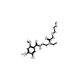 CCN(CCNC(=O)c1cc(Cl)c(N)cc1OC)C(=O)COCCOC